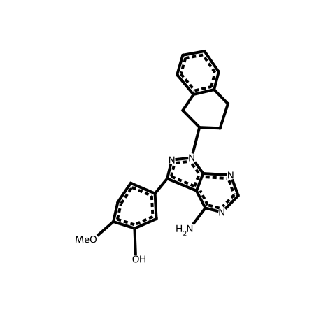 COc1ccc(-c2nn(C3CCc4ccccc4C3)c3ncnc(N)c23)cc1O